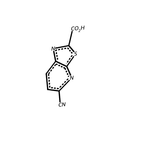 N#Cc1ccc2nc(C(=O)O)sc2n1